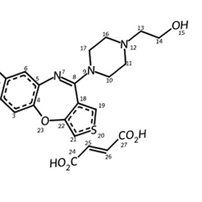 Cc1ccc2c(c1)N=C(N1CCN(CCO)CC1)c1cscc1O2.O=C(O)C=CC(=O)O